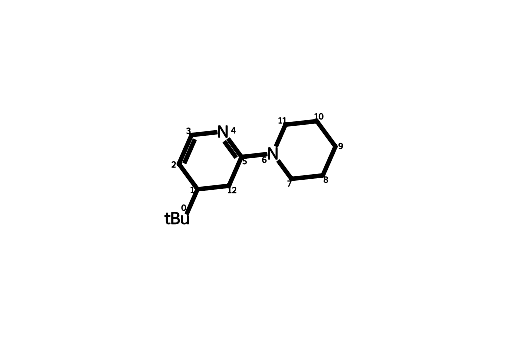 CC(C)(C)C1C=CN=C(N2CCCCC2)C1